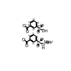 O=C([O-])c1cccc(S(=O)(=O)O)c1.O=C([O-])c1cccc(S(=O)(=O)O)c1.[Na+].[Na+]